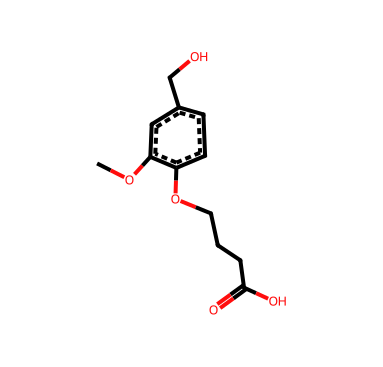 COc1cc(CO)ccc1OCCCC(=O)O